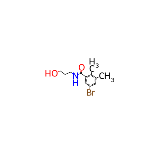 Cc1cc(Br)cc(C(=O)NCCCO)c1C